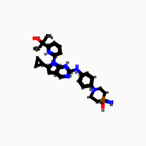 CC(C)(O)c1cccc(-n2c(C3CC3)cc3cnc(Nc4ccc(N5CCS(=N)(=O)CC5)cc4)nc32)n1